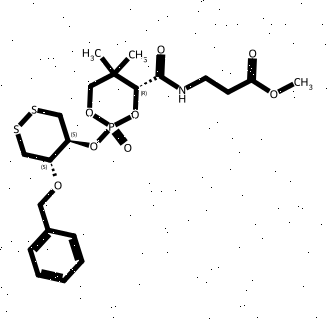 COC(=O)CCNC(=O)[C@@H]1OP(=O)(O[C@@H]2CSSC[C@H]2OCc2ccccc2)OCC1(C)C